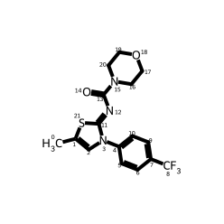 Cc1cn(-c2ccc(C(F)(F)F)cc2)c(=NC(=O)N2CCOCC2)s1